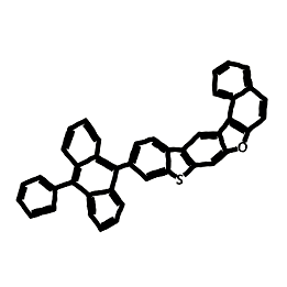 c1ccc(-c2c3ccccc3c(-c3ccc4c(c3)sc3cc5oc6ccc7ccccc7c6c5cc34)c3ccccc23)cc1